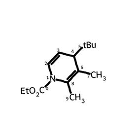 CCOC(=O)N1C=CC(C(C)(C)C)C(C)=C1C